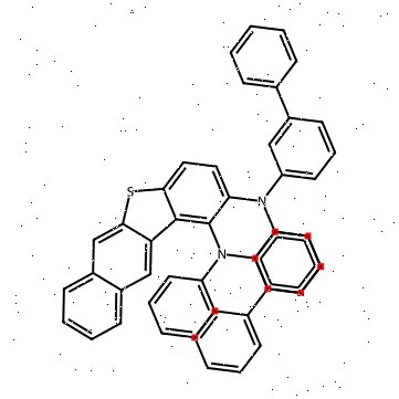 c1ccc(-c2cccc(N(c3ccccc3)c3ccc4sc5cc6ccccc6cc5c4c3N(c3ccccc3)c3ccccc3-c3ccccc3)c2)cc1